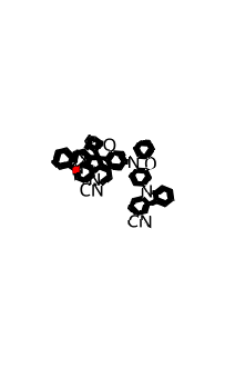 N#Cc1ccc2c(c1)c1ccccc1n2-c1ccc2c(c1)Oc1ccccc1N2c1ccc2c(c1)Oc1cccc(-n3c4ccccc4c4cc(C#N)ccc43)c1C21c2cccnc2-c2ncccc21